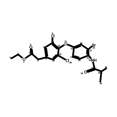 CCOC(=O)Cc1cc(Cl)c(Oc2ccc(NC(=O)C(C)C)c(Br)c2)c(Cl)c1